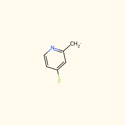 [CH2]c1cc(F)ccn1